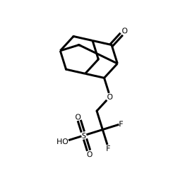 O=C1C2CC3CC(C2)C(OCC(F)(F)S(=O)(=O)O)C1C3